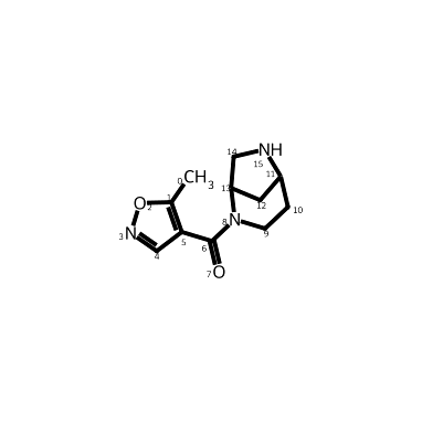 Cc1oncc1C(=O)N1CCC2CC1CN2